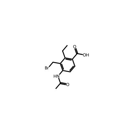 CCc1c(C(=O)O)ccc(NC(C)=O)c1CBr